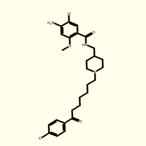 COc1cc(N)c(Cl)cc1C(=O)NCC1CCN(CCCCCCC(=O)c2ccc(Cl)cc2)CC1